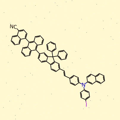 N#Cc1ccc(-c2c3ccccc3c(-c3ccc4c(c3)C(c3ccccc3)(c3ccccc3)c3cc(/C=C/c5ccc(N(c6ccc(I)cc6)c6ccc7ccccc7c6)cc5)ccc3-4)c3ccccc23)c2ccccc12